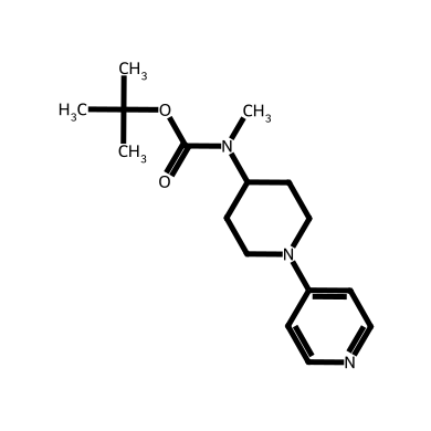 CN(C(=O)OC(C)(C)C)C1CCN(c2ccncc2)CC1